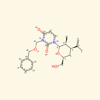 C=C(C)[C@H]1C[C@@H](CO)OC(n2ccc(=O)n(COCc3ccccc3)c2=O)[C@H]1C